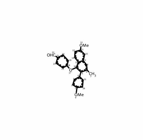 COc1ccc(-c2c(C)cc3cc(OC)ccc3c2Oc2ccc(C=O)cc2)cc1